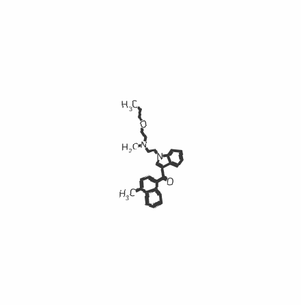 CCCOCCN(C)CCn1cc(C(=O)c2ccc(C)c3ccccc23)c2ccccc21